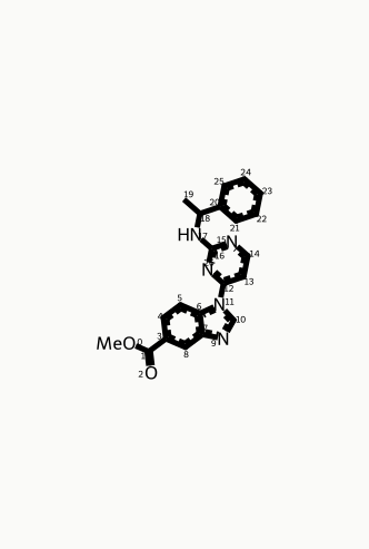 COC(=O)c1ccc2c(c1)ncn2-c1ccnc(NC(C)c2ccccc2)n1